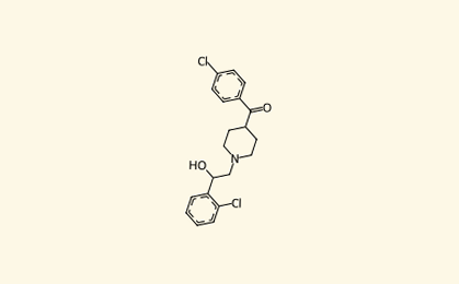 O=C(c1ccc(Cl)cc1)C1CCN(CC(O)c2ccccc2Cl)CC1